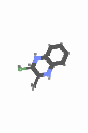 [2H]c1nc2ccccc2nc1Cl